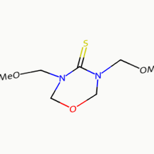 COCN1COCN(COC)C1=S